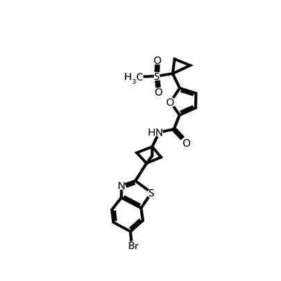 CS(=O)(=O)C1(c2ccc(C(=O)NC34CC(c5nc6ccc(Br)cc6s5)(C3)C4)o2)CC1